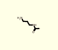 [CH2]C(=O)NCCCN